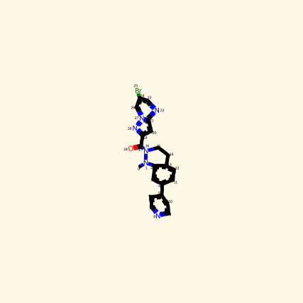 CN1c2cc(-c3ccncc3)ccc2CCN1C(=O)c1cc2ncc(Br)cn2n1